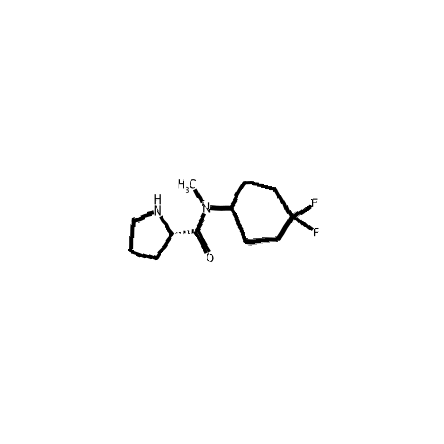 CN(C(=O)[C@@H]1CCCN1)C1CCC(F)(F)CC1